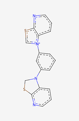 c1cc(N2CSc3ncccc32)cc(-[n+]2csc3ncccc32)c1